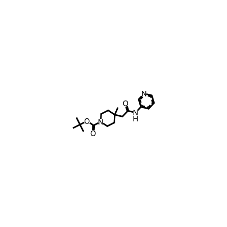 CC1(CC(=O)Nc2cccnc2)CCN(C(=O)OC(C)(C)C)CC1